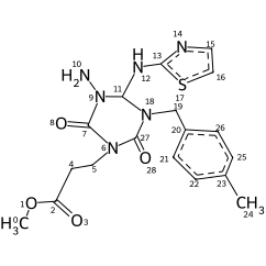 COC(=O)CCN1C(=O)N(N)C(Nc2nccs2)N(Cc2ccc(C)cc2)C1=O